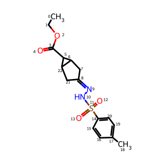 CCOC(=O)C1C2CC(=NNS(=O)(=O)c3ccc(C)cc3)CC21